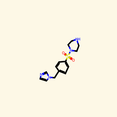 O=S(=O)(c1ccc(Cn2ccnc2)cc1)N1CCNCC1